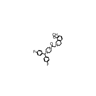 COc1cccc2c1CN(CC(=O)N1CCN(C(c3ccc(F)cc3)c3ccc(F)cc3)CC1)CC2